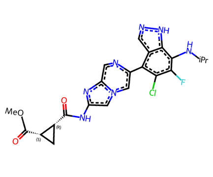 COC(=O)[C@H]1C[C@H]1C(=O)Nc1cn2cc(-c3c(Cl)c(F)c(NC(C)C)c4[nH]ncc34)ncc2n1